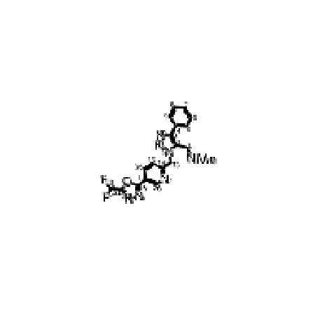 CNCc1c(-c2ccccc2)nnn1Cc1ccc(-c2nnc(C(F)F)o2)cn1